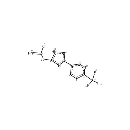 N=C(Cl)Sc1nc(-c2ccc(C(F)(F)F)nc2)c[nH]1